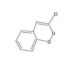 ClC1=Cc2ccccc2OO1